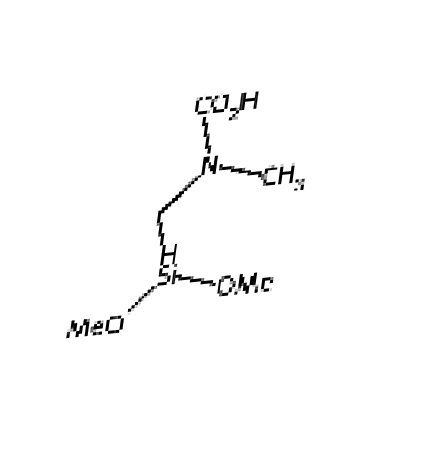 CO[SiH](CN(C)C(=O)O)OC